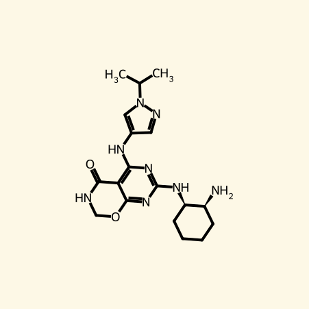 CC(C)n1cc(Nc2nc(N[C@@H]3CCCC[C@@H]3N)nc3c2C(=O)NCO3)cn1